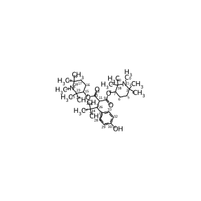 CN1C(C)(C)CCC(OC(=O)C(C(=O)OC2CCC(C)(C)N(C)C2(C)C)C(c2ccc(O)cc2)C(C)(C)C)C1(C)C